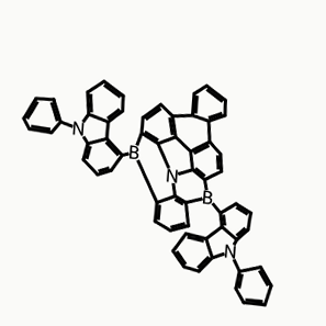 c1ccc(-n2c3ccccc3c3c(B4c5cccc6c5-n5c7c4ccc4c8ccccc8c8ccc(c5c8c47)B6c4cccc5c4c4ccccc4n5-c4ccccc4)cccc32)cc1